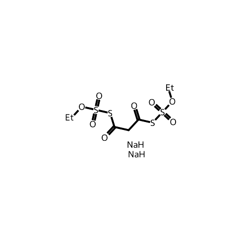 CCOS(=O)(=O)SC(=O)CC(=O)SS(=O)(=O)OCC.[NaH].[NaH]